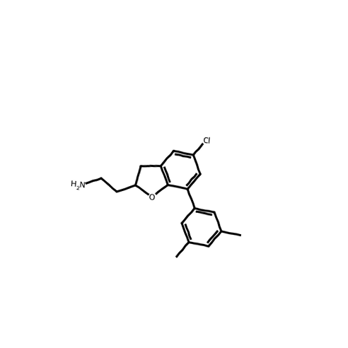 Cc1cc(C)cc(-c2cc(Cl)cc3c2OC(CCN)C3)c1